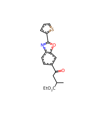 CCOC(=O)C(C)CC(=O)c1ccc2nc(-c3cccs3)oc2c1